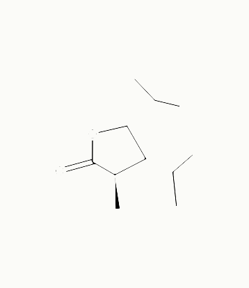 CC(C)[C@H]1[C@@H](C(C)C)OC(=O)[C@@H]1C